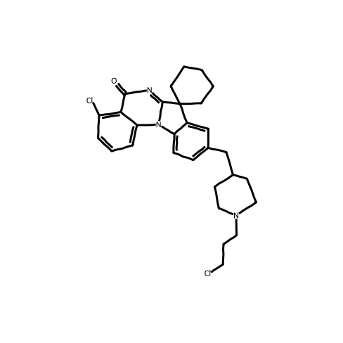 O=c1nc2n(c3cccc(Cl)c13)-c1ccc(CC3CCN(CCCCl)CC3)cc1C21CCCCC1